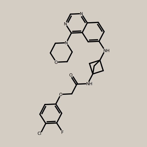 O=C(COc1ccc(Cl)c(F)c1)NC12CC(Nc3ccc4ncnc(N5CCOCC5)c4c3)(C1)C2